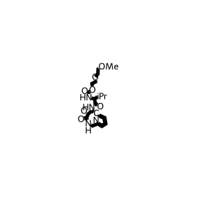 COCCOCCOC(=O)NC(C(=O)NC1Cc2cccc(n2)CNC(=O)C1=O)C(C)C